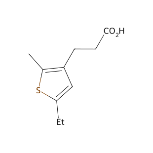 CCc1cc(CCC(=O)O)c(C)s1